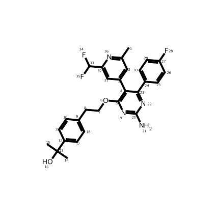 Cc1cc(-c2c(OCCc3ccc(C(C)(C)O)cc3)nc(N)nc2-c2ccc(F)cc2)cc(C(F)F)n1